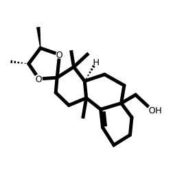 C[C@H]1OC2(CCC3(C)C4=CCCCC4(CO)CC[C@@H]3C2(C)C)O[C@@H]1C